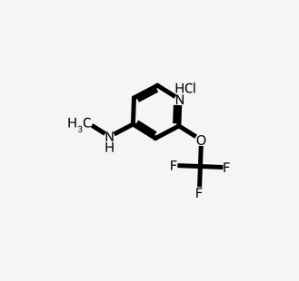 CNc1ccnc(OC(F)(F)F)c1.Cl